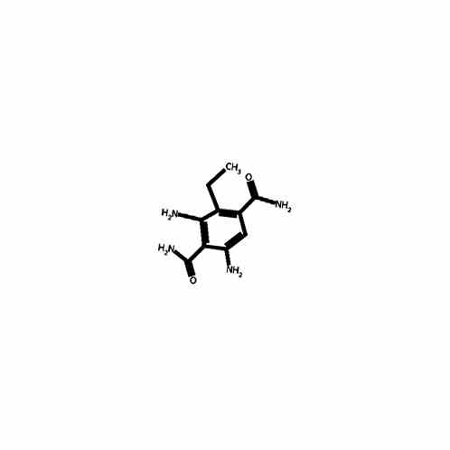 CCc1c(C(N)=O)cc(N)c(C(N)=O)c1N